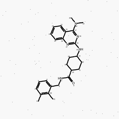 Cc1cccc(CNC(=O)C2CCC(Nc3nc(N(C)C)c4ccccc4n3)CC2)c1C